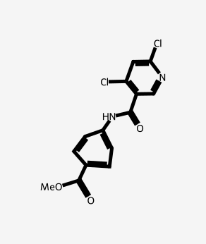 COC(=O)c1ccc(NC(=O)c2cnc(Cl)cc2Cl)cc1